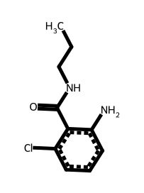 CCCNC(=O)c1c(N)cccc1Cl